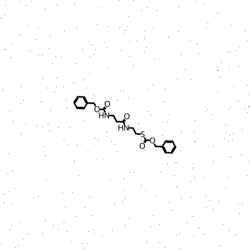 O=C(CCNC(=O)OCc1ccccc1)NCCSC(=O)OCc1ccccc1